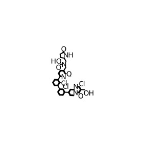 COc1nc(-c2cccc(-c3cccc(-c4ccn5c(=O)c(CO)c(Cl)nc5c4)c3Cl)c2Cl)ccc1CN(CC1CCC(=O)N1)C(=O)O